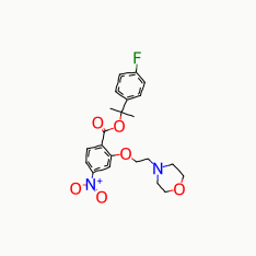 CC(C)(OC(=O)c1ccc([N+](=O)[O-])cc1OCCN1CCOCC1)c1ccc(F)cc1